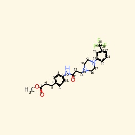 COC(=O)CCc1ccc(NC(=O)CCN2CCN(c3cccc(C(F)(F)F)c3)CC2)cc1